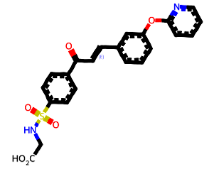 O=C(O)CNS(=O)(=O)c1ccc(C(=O)/C=C/c2cccc(Oc3ccccn3)c2)cc1